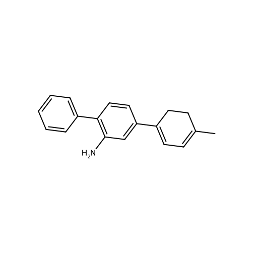 CC1=CC=C(c2ccc(-c3ccccc3)c(N)c2)CC1